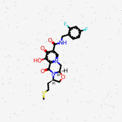 CSCC[C@@H]1CO[C@@H]2Cn3cc(C(=O)NCc4ccc(F)cc4F)c(=O)c(O)c3C(=O)N12